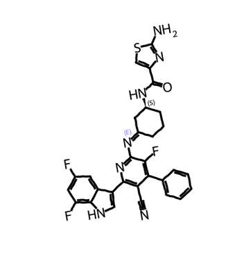 N#Cc1c(-c2c[nH]c3c(F)cc(F)cc23)nc(/N=C2\CCC[C@H](NC(=O)c3csc(N)n3)C2)c(F)c1-c1ccccc1